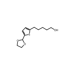 OCCCCCc1ccc(C2OCCO2)s1